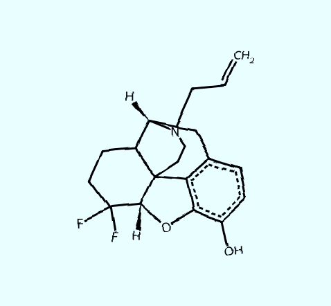 C=CCN1CCC23c4c5ccc(O)c4O[C@@H]2C(F)(F)CCC3[C@@H]1C5